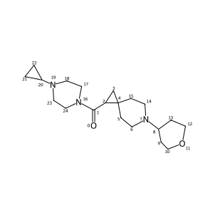 O=C(C1CC12CCN(C1CCOCC1)CC2)N1CCN(C2CC2)CC1